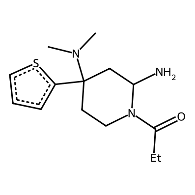 CCC(=O)N1CCC(c2cccs2)(N(C)C)CC1N